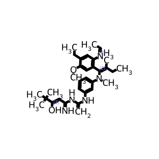 C=C(NC(=N)/C=C(\O)C(C)(C)C)Nc1cccc(N(C)/C(=C(/C)CC)c2cc(OC)c(CC)cc2/N=C\C)c1